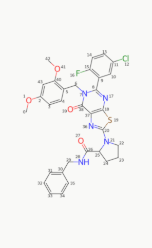 COc1ccc(Cn2c(-c3cc(Cl)ccc3F)nc3sc(N4CCCC4C(=O)NCc4ccccc4)nc3c2=O)c(OC)c1